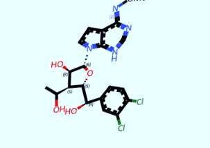 CO/N=c1\nc[nH]c2c1ccn2[C@@H]1O[C@H]([C@H](O)c2ccc(Cl)c(Cl)c2)[C@@H](C(C)O)[C@H]1O